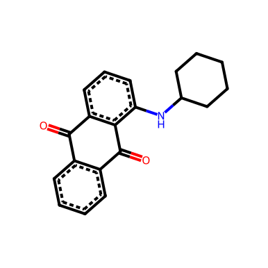 O=C1c2ccccc2C(=O)c2c(NC3CCCCC3)cccc21